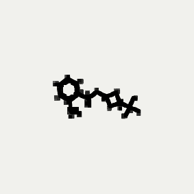 CC(C)(C)N1CC(CNc2ccccc2N)C1